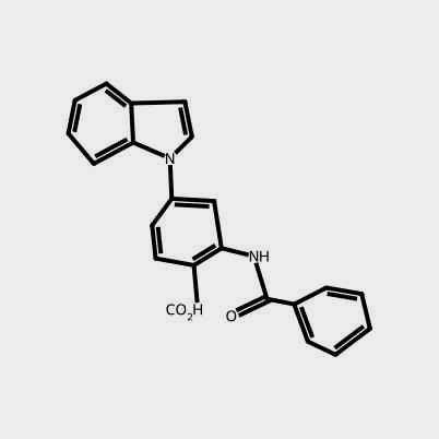 O=C(Nc1cc(-n2ccc3ccccc32)ccc1C(=O)O)c1ccccc1